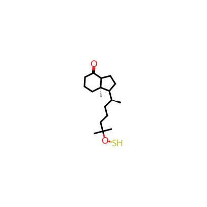 C[C@@H](CCCC(C)(C)OS)C1CCC2C(=O)CCC[C@@]21C